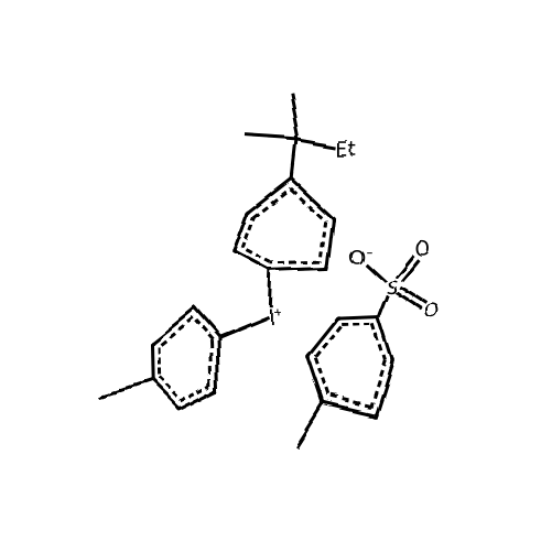 CCC(C)(C)c1ccc([I+]c2ccc(C)cc2)cc1.Cc1ccc(S(=O)(=O)[O-])cc1